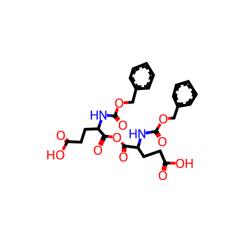 O=C(O)CCC(NC(=O)OCc1ccccc1)C(=O)OC(=O)C(CCC(=O)O)NC(=O)OCc1ccccc1